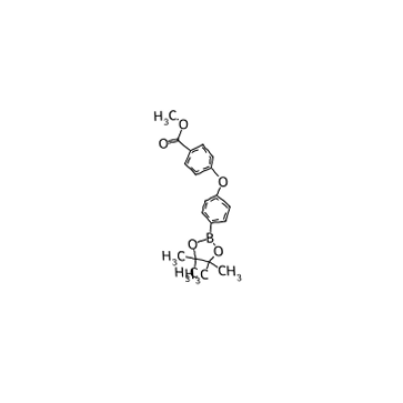 COC(=O)c1ccc(Oc2ccc(B3OC(C)(C)C(C)(C)O3)cc2)cc1